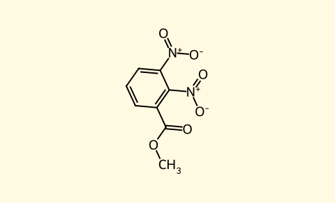 COC(=O)c1cccc([N+](=O)[O-])c1[N+](=O)[O-]